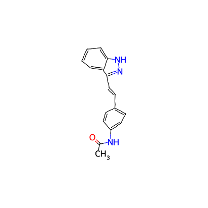 CC(=O)Nc1ccc(/C=C/c2n[nH]c3ccccc23)cc1